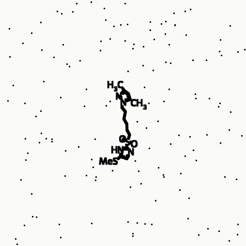 CSc1cnc(S(=O)(=O)CCCCCCn2nc(C)cc2C)[nH]1